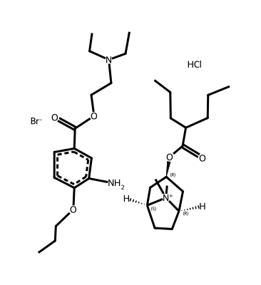 CCCC(CCC)C(=O)O[C@H]1C[C@H]2CC[C@@H](C1)[N+]2(C)C.CCCOc1ccc(C(=O)OCCN(CC)CC)cc1N.Cl.[Br-]